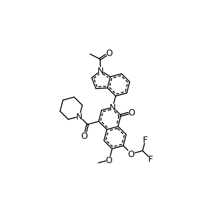 COc1cc2c(C(=O)N3CCCCC3)cn(-c3cccc4c3ccn4C(C)=O)c(=O)c2cc1OC(F)F